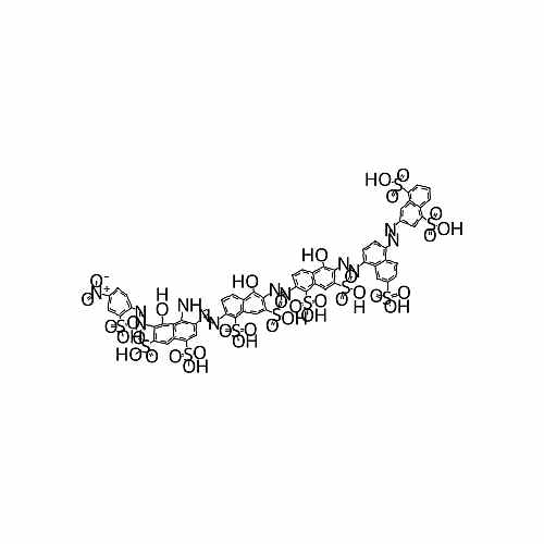 Nc1c(N=Nc2ccc3c(O)c(N=Nc4ccc5c(O)c(N=Nc6ccc(N=Nc7cc(S(=O)(=O)O)c8cccc(S(=O)(=O)O)c8c7)c7ccc(S(=O)(=O)O)cc67)c(S(=O)(=O)O)cc5c4S(=O)(=O)O)c(S(=O)(=O)O)cc3c2S(=O)(=O)O)cc(S(=O)(=O)O)c2cc(S(=O)(=O)O)c(N=Nc3ccc([N+](=O)[O-])cc3S(=O)(=O)O)c(O)c12